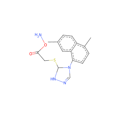 Cc1ccc2c(C)ccc(N3C=NNC3SCC(=O)ON)c2c1